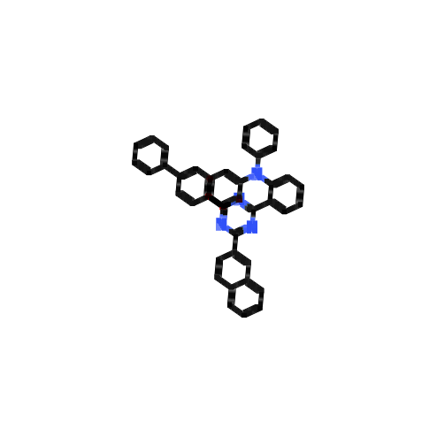 c1ccc(-c2ccc(-c3nc(-c4ccc5ccccc5c4)nc(-c4ccccc4N(c4ccccc4)c4ccccc4)n3)cc2)cc1